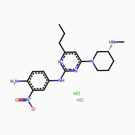 CCCc1cc(N2CCC[C@@H](NC)C2)nc(Nc2ccc(N)c([N+](=O)[O-])c2)n1.Cl.Cl